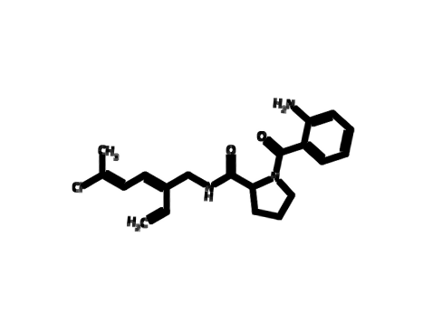 C=C/C(=C\C=C(/C)Cl)CNC(=O)C1CCCN1C(=O)c1ccccc1N